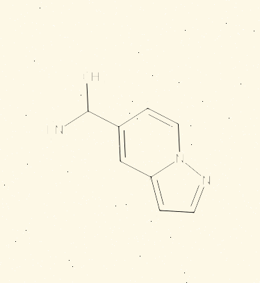 CC(N)c1ccn2nccc2c1